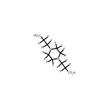 O=C(O)C(F)(F)C(F)(F)N1C(F)(F)C(F)(F)N(C(F)(F)C(F)(F)C(=O)O)C(F)(F)C1(F)F